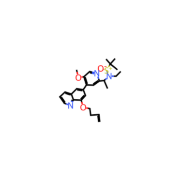 C=CCCOc1cc(-c2cc(C(C)N(CC)[S+]([O-])C(C)(C)C)ncc2OC)cc2cccnc12